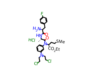 CCOC(=O)[C@H](CCSC)N(C(=O)[C@H](C)NC(=O)[C@@H](N)Cc1ccc(F)cc1)c1cccc(N(CCCl)CCCl)c1.Cl